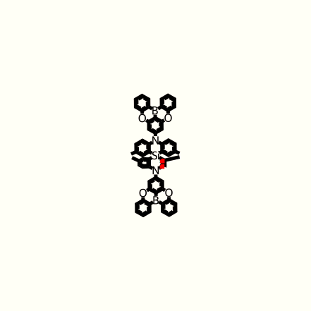 Cc1ccc2c(c1)[Si]1(c3cc(C)ccc3N2c2cc3c4c(c2)Oc2ccccc2B4c2ccccc2O3)c2cc(C)ccc2N(c2cc3c4c(c2)Oc2ccccc2B4c2ccccc2O3)c2ccc(C)cc21